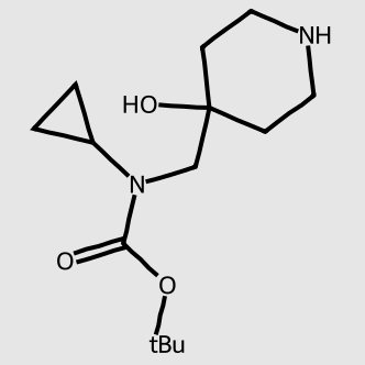 CC(C)(C)OC(=O)N(CC1(O)CCNCC1)C1CC1